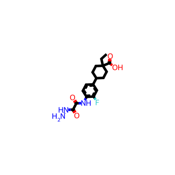 CCC1(C(=O)O)CCC(c2ccc(NC(=O)C(=O)NN)c(F)c2)CC1